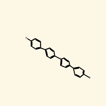 Fc1ccc(-c2ccc(-c3ccc(-c4ccc(F)cc4)cc3)cc2)cc1